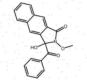 CON1C(=O)c2cc3ccccc3cc2C1(O)C(=O)c1ccccc1